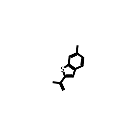 C=C(C)c1cc2ccc(C)cc2s1